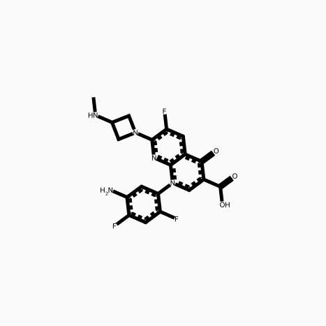 CNC1CN(c2nc3c(cc2F)c(=O)c(C(=O)O)cn3-c2cc(N)c(F)cc2F)C1